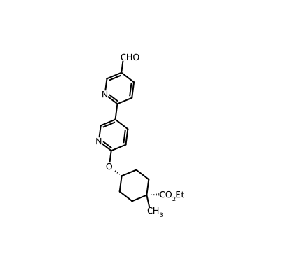 CCOC(=O)[C@]1(C)CC[C@H](Oc2ccc(-c3ccc(C=O)cn3)cn2)CC1